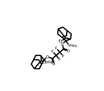 CCCCCCC1(OC(=O)C(F)(F)C(F)(F)C(=O)OC2(CCCCCC)C3CC4CC(C3)C(CC)C2C4)C2CC3CC(C2)C(CC)C1C3